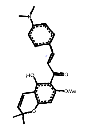 COc1cc2c(c(O)c1C(=O)/C=C/c1ccc(N(C)C)cc1)C=CC(C)(C)O2